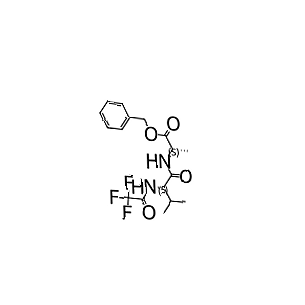 CC(C)[C@H](NC(=O)C(F)(F)F)C(=O)N[C@@H](C)C(=O)OCc1ccccc1